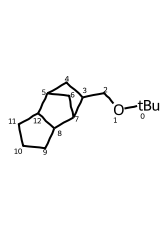 CC(C)(C)OCC1CC2CC1C1CCCC21